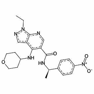 CCn1ncc2c(NC3CCOCC3)c(C(=O)N[C@H](C)c3ccc([N+](=O)[O-])cc3)cnc21